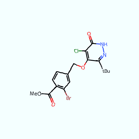 COC(=O)c1ccc(COc2c(C(C)(C)C)n[nH]c(=O)c2Cl)cc1Br